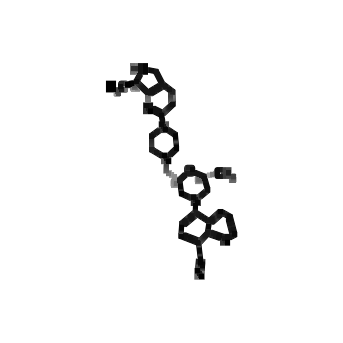 C[C@@H]1CN(c2ccc(C#N)c3ncccc23)C[C@H](CN2CCN(c3ccc4c(n3)[C@@H](C)NC4)CC2)O1